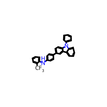 FC(F)(F)c1ccccc1Nc1ccc(-c2ccc3c(c2)c2ccccc2n3-c2ccccc2)cc1